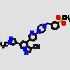 Cn1cc(-c2cc(-c3ccc(N4CCN(Cc5cccc(S(C)(=O)=O)c5)CC4)nc3)c3c(C#N)cnn3c2)cn1